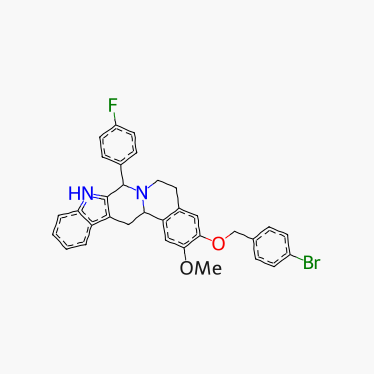 COc1cc2c(cc1OCc1ccc(Br)cc1)CCN1C2Cc2c([nH]c3ccccc23)C1c1ccc(F)cc1